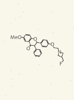 COc1ccc2c(c1)C(=O)C(c1ccccc1)C(c1ccc(OCCN3CC(CF)C3)cc1)O2